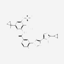 COc1c(NC(=O)c2ccc(C)c(N3C=C(c4cnc(C5CC5)n4C)NN3)c2)cc(C2(C)CC2)cc1NS(C)(=O)=O